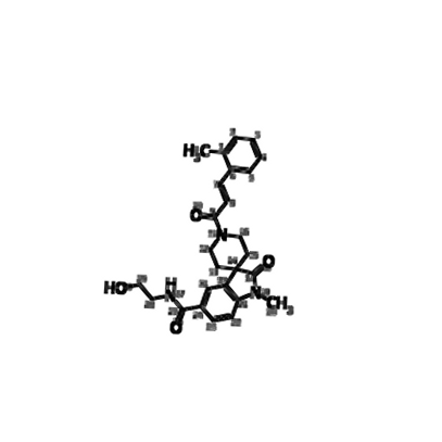 Cc1ccccc1/C=C/C(=O)N1CCC2(CC1)C(=O)N(C)c1ccc(C(=O)NCCO)cc12